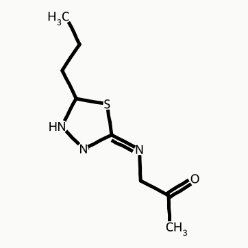 CCCC1N[N]C(=NCC(C)=O)S1